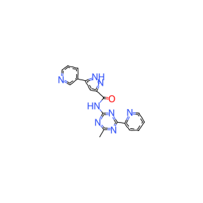 Cc1nc(NC(=O)c2cc(-c3cccnc3)[nH]n2)nc(-c2ccccn2)n1